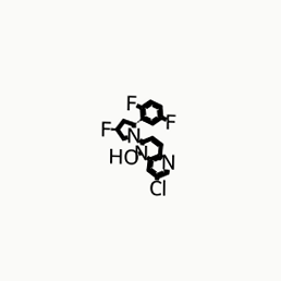 ON1c2cc(Cl)cnc2C=CC1N1C[C@@H](F)C[C@@H]1c1cc(F)ccc1F